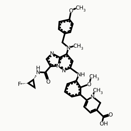 COc1ccc(CN(C)c2cc(Nc3cccc(C4=CC=C(C(=O)O)CN4C)c3OC)nn3c(C(=O)N[C@@H]4C[C@@H]4F)cnc23)cc1